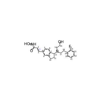 O=C(/C=C/c1ccc2c(c1)CCC2N(CCO)CCc1ccccc1F)NO